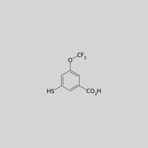 O=C(O)c1cc(S)cc(OC(F)(F)F)c1